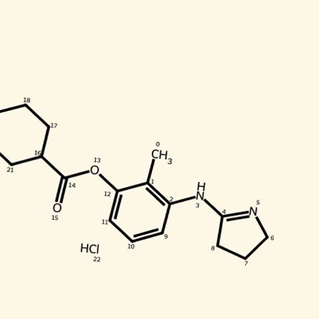 Cc1c(NC2=NCCC2)cccc1OC(=O)C1CCCCC1.Cl